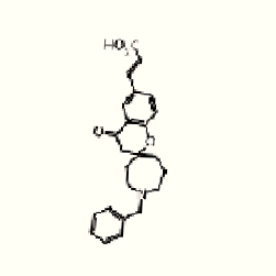 O=C(O)C=Cc1ccc2c(c1)C(=O)CC1(CCCN(Cc3ccccc3)CC1)O2